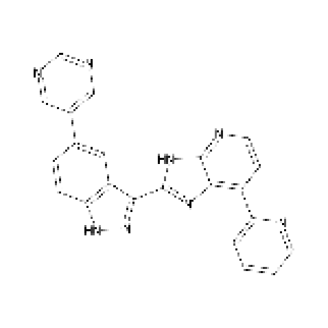 c1ccc(-c2ccnc3[nH]c(-c4n[nH]c5ccc(-c6cncnc6)cc45)nc23)nc1